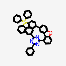 c1ccc(-c2nc(-c3ccccc3)nc(-c3cccc4oc5ccc(-c6ccc(S(c7ccccc7)(c7ccccc7)c7ccccc7)cc6)cc5c34)n2)cc1